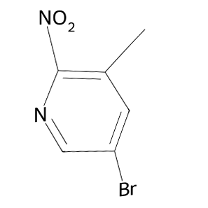 Cc1cc(Br)cnc1[N+](=O)[O-]